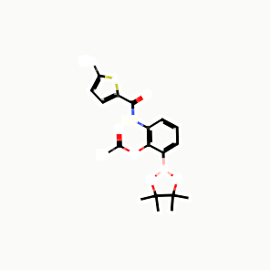 CCC(=O)Oc1c(NC(=O)c2ccc(C(C)(C)C)s2)cccc1B1OC(C)(C)C(C)(C)O1